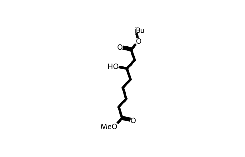 CCC(C)OC(=O)CC(O)CCCCC(=O)OC